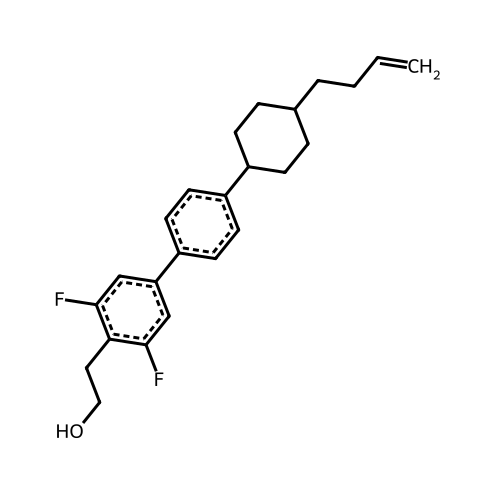 C=CCCC1CCC(c2ccc(-c3cc(F)c(CCO)c(F)c3)cc2)CC1